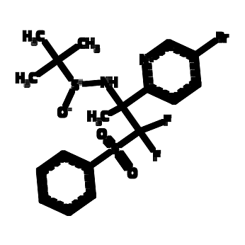 CC(C)(C)[S+]([O-])NC(C)(c1ccc(Br)cn1)C(F)(F)S(=O)(=O)c1ccccc1